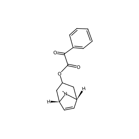 CN1[C@@H]2C=C[C@H]1CC(OC(=O)C(=O)c1ccccc1)C2